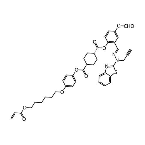 C#CCN(/N=C/c1cc(OC=O)ccc1OC(=O)[C@H]1CC[C@H](C(=O)Oc2ccc(OCCCCCCOC(=O)C=C)cc2)CC1)c1nc2ccccc2s1